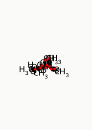 CCOC(=O)c1nc(N(Cc2ccc(OC)cc2)Cc2ccc(OC)cc2)cc2c1C(CC)N(c1ccc(-c3c(C)on(C)c3=O)cc1)C2=O